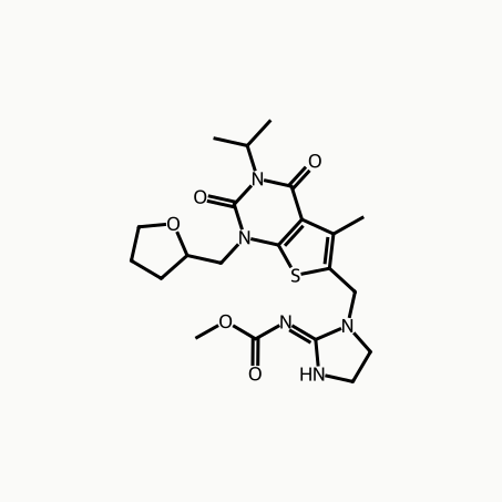 COC(=O)N=C1NCCN1Cc1sc2c(c1C)c(=O)n(C(C)C)c(=O)n2CC1CCCO1